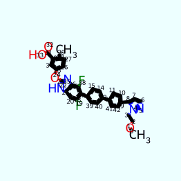 COCCn1nccc1-c1ccc(-c2ccc(-c3c(F)cc4[nH]c(Oc5ccc(C)c(C(=O)O)c5)nc4c3F)cc2)cc1